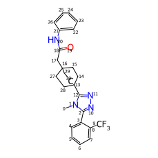 Cn1c(-c2ccccc2C(F)(F)F)nnc1C12CCC(CC(=O)Nc3ccccc3)(CC1)CC2